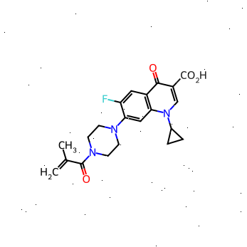 C=C(C)C(=O)N1CCN(c2cc3c(cc2F)c(=O)c(C(=O)O)cn3C2CC2)CC1